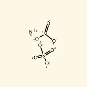 O=S(=O)([O-])[O-].O=[N+]([O-])[O-].[Ni+3]